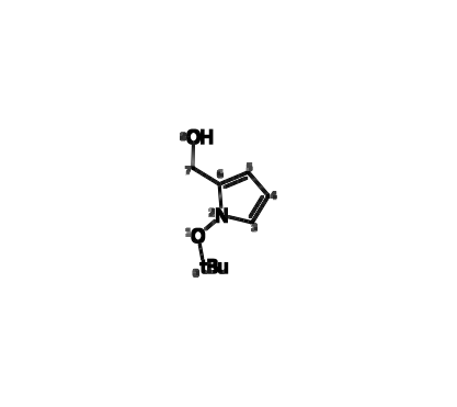 CC(C)(C)On1cccc1CO